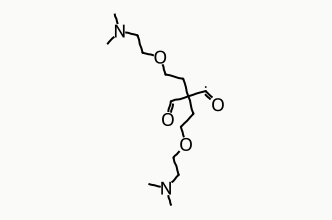 CN(C)CCOCCC([C]=O)(C=O)CCOCCN(C)C